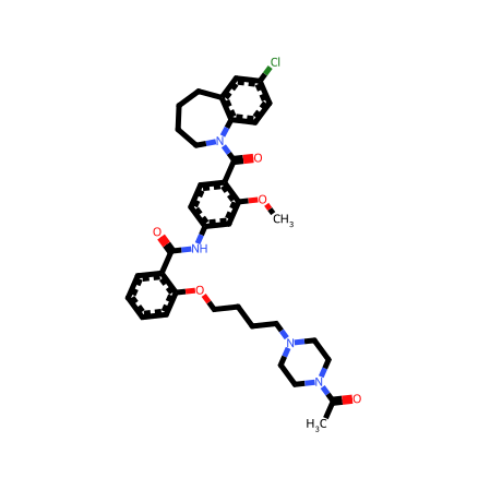 COc1cc(NC(=O)c2ccccc2OCCCCN2CCN(C(C)=O)CC2)ccc1C(=O)N1CCCCc2cc(Cl)ccc21